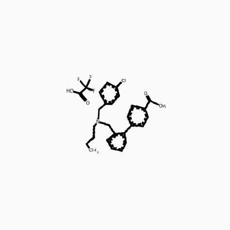 CCCCN(Cc1ccc(Cl)cc1)Cc1ccccc1-c1ccc(C(=O)O)cc1.O=C(O)C(F)(F)F